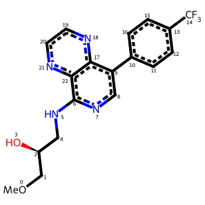 COC[C@@H](O)CNc1ncc(-c2ccc(C(F)(F)F)cc2)c2nccnc12